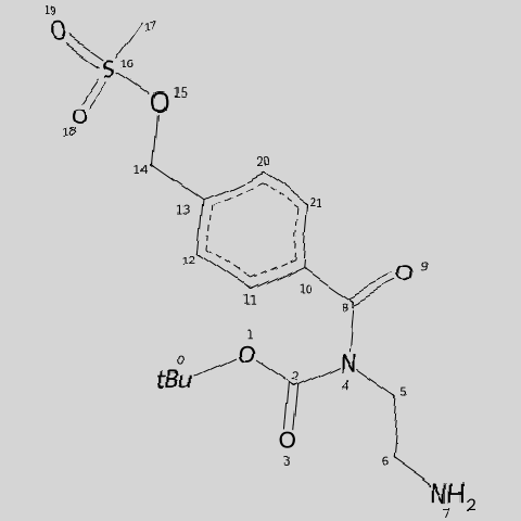 CC(C)(C)OC(=O)N(CCN)C(=O)c1ccc(COS(C)(=O)=O)cc1